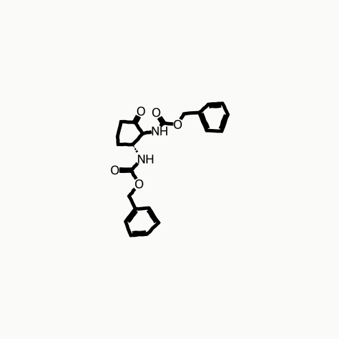 O=C(NC1C(=O)CCC[C@H]1NC(=O)OCc1ccccc1)OCc1ccccc1